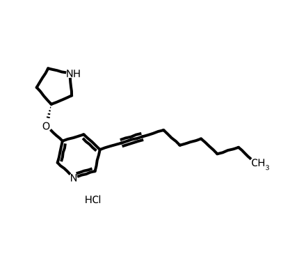 CCCCCCC#Cc1cncc(O[C@@H]2CCNC2)c1.Cl